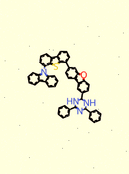 c1ccc(C2=NC(c3ccccc3)NC(c3ccc4oc5cc(-c6cccc7c6sc6c(-n8c9ccccc9c9ccccc98)cccc67)ccc5c4c3)N2)cc1